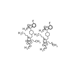 CCCCN1C=NC(CCSC)(OC(=O)OC)C1CC1CCC(C(c2cccc(F)c2)N(C)C)CC1.CCCCN1CNC(CCC)(OC(=O)OC)C1CC1CCC(C(c2cccc(F)c2)N(C)C)CC1